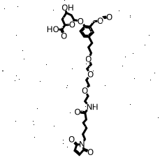 O=COCc1cc(CCCOCCOCCOCCNC(=O)CCCCCN2C(=O)C=CC2=O)ccc1OC1CC(O)CC(C(=O)O)O1